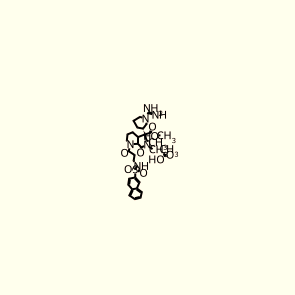 CC(=O)O.CCC(C(=O)OC)(C1CCCN(C(=O)CCNS(=O)(=O)c2ccc3ccccc3c2)C1C(=O)NC)[C@@H]1CCCN(C(=N)N)C1